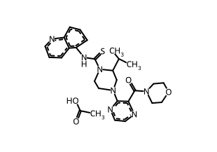 CC(=O)O.CC(C)C1CN(c2nccnc2C(=O)N2CCOCC2)CCN1C(=S)Nc1cccc2ncccc12